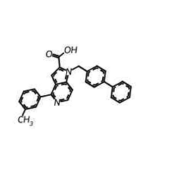 Cc1cccc(-c2nccc3c2cc(C(=O)O)n3Cc2ccc(-c3ccccc3)cc2)c1